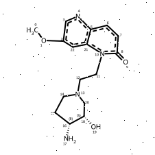 COc1cnc2ccc(=O)n(CCN3CC[C@@H](N)[C@@H](O)C3)c2c1